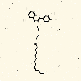 CCCCC/C=C\C/C=C\CCCCCCCC(=O)NCCOCCOc1c(-c2ccc(O)c(O)c2)oc2cc(O)cc(O)c2c1=O